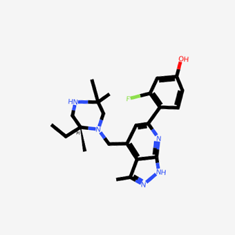 CC[C@]1(C)CNC(C)(C)CN1Cc1cc(-c2ccc(O)cc2F)nc2[nH]nc(C)c12